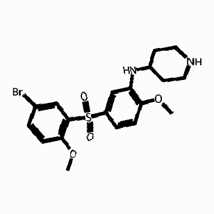 COc1ccc(S(=O)(=O)c2cc(Br)ccc2OC)cc1NC1CCNCC1